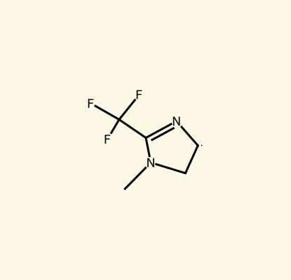 CN1C[CH]N=C1C(F)(F)F